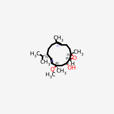 CO[C@@]1(C)/C=C/[C@H](C(C)C)CC/C(C)=C/CC[C@]2(C)O[C@@H]2[C@H](O)C1